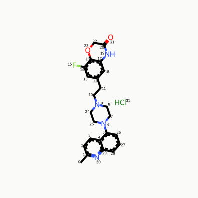 Cc1ccc2c(N3CCN(CCc4cc(F)c5c(c4)NC(=O)CO5)CC3)cccc2n1.Cl